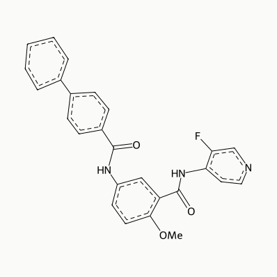 COc1ccc(NC(=O)c2ccc(-c3ccccc3)cc2)cc1C(=O)Nc1ccncc1F